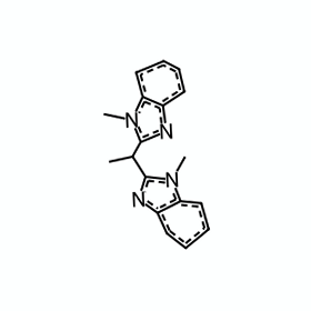 CC(c1nc2ccccc2n1C)c1nc2ccccc2n1C